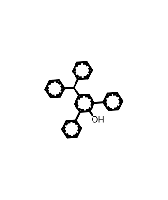 Oc1c(-c2ccccc2)cc(C(c2ccccc2)c2ccccc2)cc1-c1ccccc1